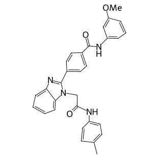 COc1cccc(NC(=O)c2ccc(-c3nc4ccccc4n3CC(=O)Nc3ccc(C)cc3)cc2)c1